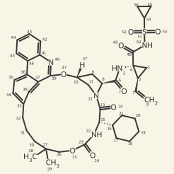 C=C[C@@H]1C[C@]1(NC(=O)[C@@H]1C[C@@H]2CN1C(=O)[C@H](C1CCCCC1)NC(=O)OCC(C)(C)CCCc1ccc3c(c1)c(nc1ccccc13)O2)C(=O)NS(=O)(=O)C1CC1